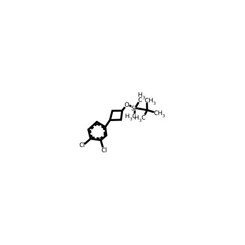 CC(C)(C)[Si](C)(C)OC1CC(c2ccc(Cl)c(Cl)c2)C1